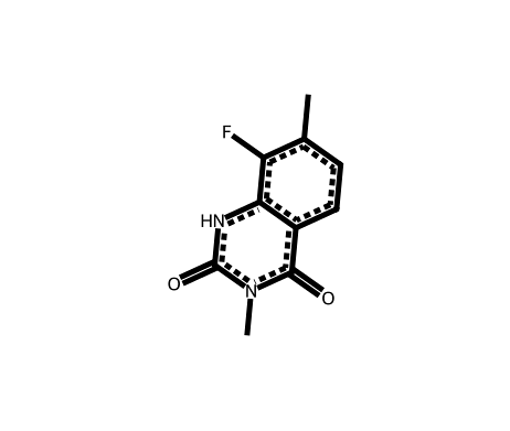 Cc1ccc2c(=O)n(C)c(=O)[nH]c2c1F